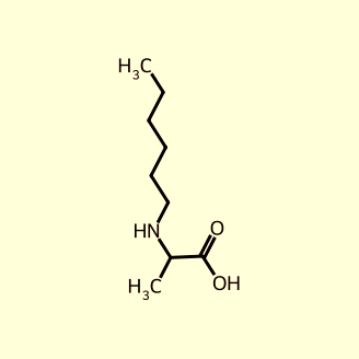 CCCCCCNC(C)C(=O)O